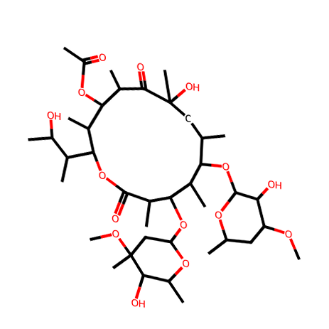 COC1CC(C)OC(OC2C(C)CC(C)(O)C(=O)C(C)C(OC(C)=O)C(C)C(C(C)C(C)O)OC(=O)C(C)C(OC3CC(C)(OC)C(O)C(C)O3)C2C)C1O